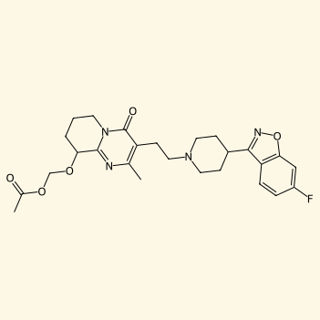 CC(=O)OCOC1CCCn2c1nc(C)c(CCN1CCC(c3noc4cc(F)ccc34)CC1)c2=O